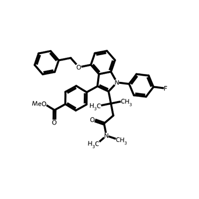 COC(=O)c1ccc(-c2c(C(C)(C)CC(=O)N(C)C)n(-c3ccc(F)cc3)c3cccc(OCc4ccccc4)c23)cc1